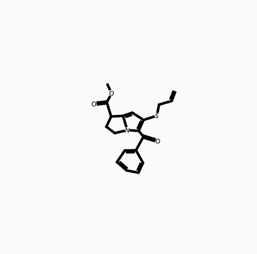 C=CCSc1cc2n(c1C(=O)c1ccccc1)CCC2C(=O)OC